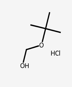 CC(C)(C)OCO.Cl